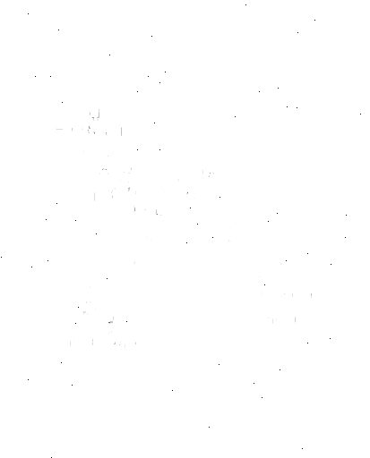 CCCCCCCCC(CCCCCCCC)OC(=O)CCCCCCC(=O)OCC(COP(=O)(O)OCC[N+](C)(C)C)OC(=O)CCCCCCC(=O)OC(CCCCCCCC)CCCCCCCC